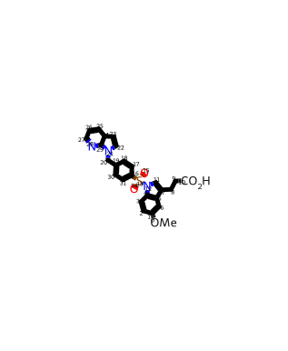 COc1ccc2c(c1)c(CCC(=O)O)cn2S(=O)(=O)c1ccc(CN2C=CC3C=CC=NC32)cc1